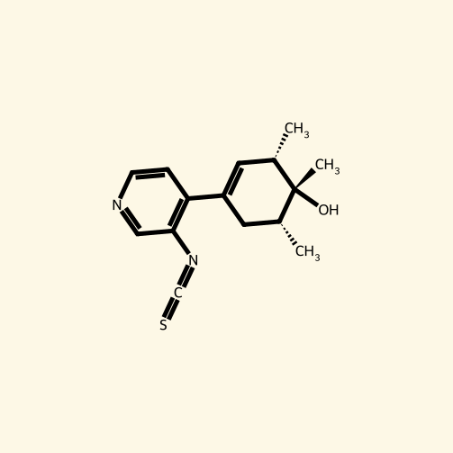 C[C@@H]1CC(c2ccncc2N=C=S)=C[C@H](C)[C@]1(C)O